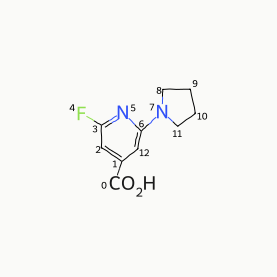 O=C(O)c1cc(F)nc(N2CCCC2)c1